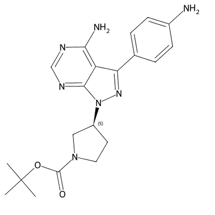 CC(C)(C)OC(=O)N1CC[C@H](n2nc(-c3ccc(N)cc3)c3c(N)ncnc32)C1